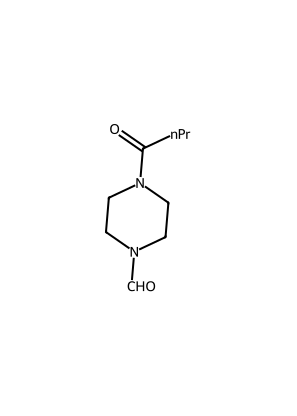 CCCC(=O)N1CCN(C=O)CC1